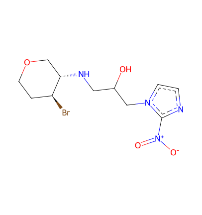 O=[N+]([O-])c1nccn1CC(O)CN[C@H]1COCC[C@@H]1Br